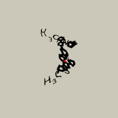 CC1C=CC=C(c2ccc(-c3ccc4c(c3)c3ccccc3n4-c3ccccc3-c3ccc4c5c(sc4c3)CC(C)C=C5)cc2Nc2ccccc2)C1